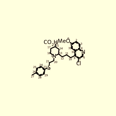 COc1ccc2ncc(Cl)c(CCCC3CC(C(=O)O)CCN3CCSc3ccc(C)cc3)c2c1